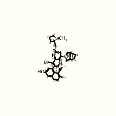 C#Cc1c(F)ccc2cc(O)cc(-c3cnc4c(N5CC6CCC(C5)N6)nc(OCC5CCCN5C)nc4c3Br)c12